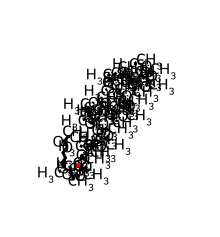 C=C(C)C(=O)OCCC[Si](C)(C)O[Si](C)(C)O[Si](C)(C)O[Si](C)(C)O[Si](C)(C)O[Si](C)(C)O[Si](C)(C)O[Si](C)(C)O[Si](C)(C)O[Si](C)(C)O[Si](C)(C)O[Si](C)(C)O[Si](C)(C)O[Si](C)(C)O[Si](C)(C)O[Si](C)(C)O[Si](C)(C)O[Si](C)(C)O[Si](C)(C)O[Si](C)(C)O[Si](C)(C)O[Si](C)(C)O[Si](C)(C)O[Si](C)(C)O[Si](C)(C)C